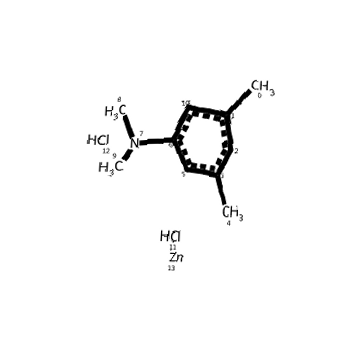 Cc1cc(C)cc(N(C)C)c1.Cl.Cl.[Zn]